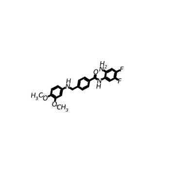 COc1ccc(NCc2ccc(C(=O)Nc3cc(F)c(F)cc3N)cc2)cc1OC